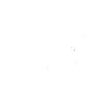 O=[N+]([O-])Cc1cccs1